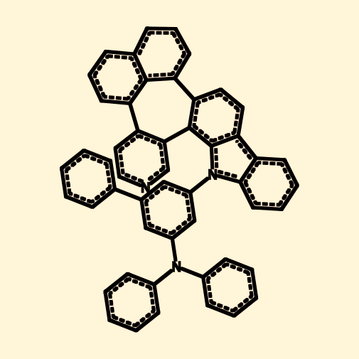 c1ccc(-c2cc(N(c3ccccc3)c3ccccc3)cc(-n3c4ccccc4c4ccc5c(c43)-c3cnccc3-c3cccc4cccc-5c34)c2)cc1